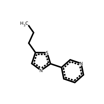 CCCc1cnc(-c2cccnc2)s1